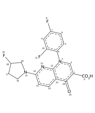 O=C(O)c1cn(-c2ccc(F)cc2F)c2nc(N3CCC(F)C3)ccc2c1=O